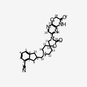 N#Cc1cccc2c1CC(CN1CCC3(CC1)CN(c1cnc4c(n1)NC(=O)CO4)C(=O)O3)C2